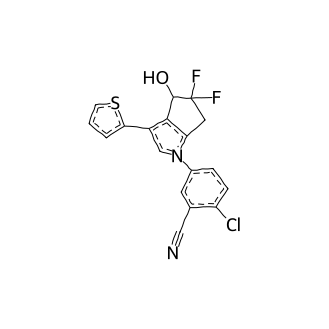 N#Cc1cc(-n2cc(-c3cccs3)c3c2CC(F)(F)C3O)ccc1Cl